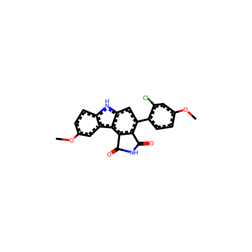 COc1ccc(-c2cc3[nH]c4ccc(OC)cc4c3c3c2C(=O)NC3=O)c(Cl)c1